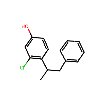 CC(Cc1ccccc1)c1ccc(O)cc1Cl